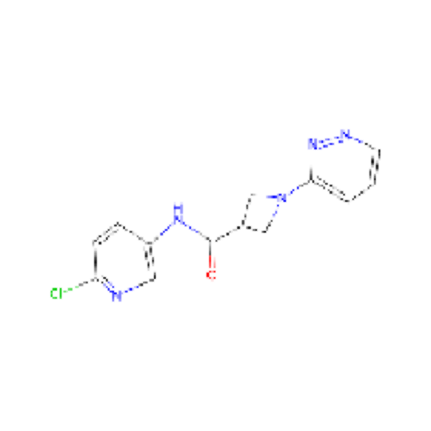 O=C(Nc1ccc(Cl)nc1)C1CN(c2cccnn2)C1